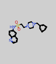 O=S(=O)(CCN1CCN(Cc2ccccc2)CC1)Nc1ccc2ncccc2c1